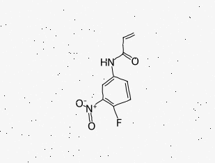 C=CC(=O)Nc1ccc(F)c([N+](=O)[O-])c1